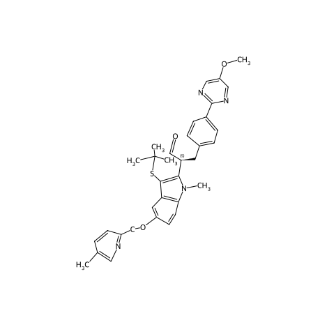 COc1cnc(-c2ccc(C[C@H](C=O)c3c(SC(C)(C)C)c4cc(OCc5ccc(C)cn5)ccc4n3C)cc2)nc1